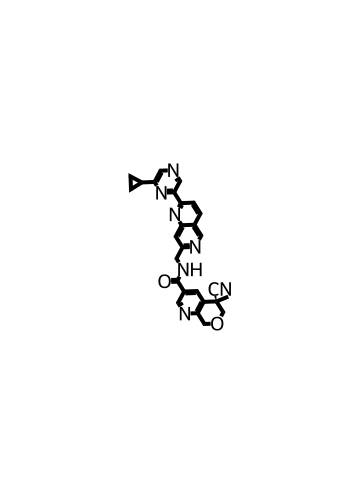 C[C@@]1(C#N)COCc2ncc(C(=O)NCc3cc4nc(-c5cncc(C6CC6)n5)ccc4cn3)cc21